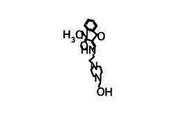 CN1C(=O)/C(=C\NCCN2CCN(CCO)CC2)C(=O)c2ccccc21